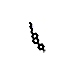 C/C=C/CCC1CCC2CC(c3ccc(F)cc3)CCC2C1